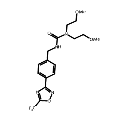 COCCN(CCOC)C(=O)NCc1ccc(-c2noc(C(F)(F)F)n2)cc1